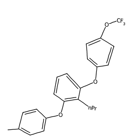 CCCc1c(Oc2ccc(C)cc2)cccc1Oc1ccc(OC(F)(F)F)cc1